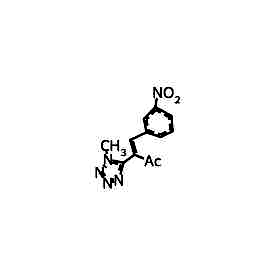 CC(=O)/C(=C\c1cccc([N+](=O)[O-])c1)c1nnnn1C